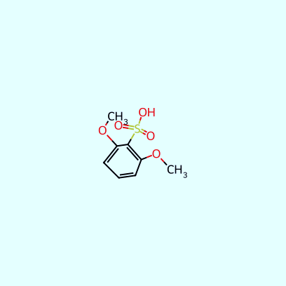 COc1cccc(OC)c1S(=O)(=O)O